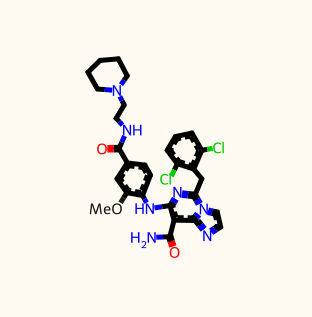 COc1cc(C(=O)NCCN2CCCCC2)ccc1Nc1nc(Cc2c(Cl)cccc2Cl)n2ccnc2c1C(N)=O